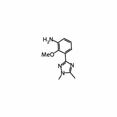 COc1c(N)cccc1-c1nc(C)n(C)n1